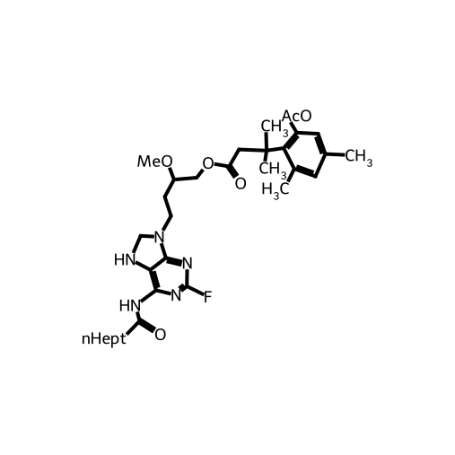 CCCCCCCC(=O)Nc1nc(F)nc2c1NCN2CCC(COC(=O)CC(C)(C)c1c(C)cc(C)cc1OC(C)=O)OC